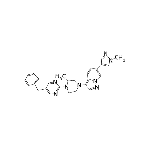 CC1CN(c2cnn3cc(-c4cnn(C)c4)ccc23)CCN1c1ncc(Cc2ccccc2)cn1